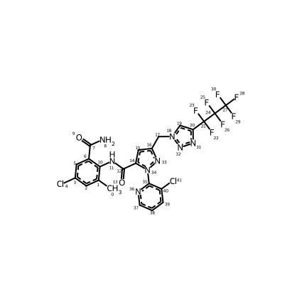 Cc1cc(Cl)cc(C(N)=O)c1NC(=O)c1cc(Cn2cc(C(F)(F)C(F)(F)C(F)(F)F)nn2)nn1-c1ncccc1Cl